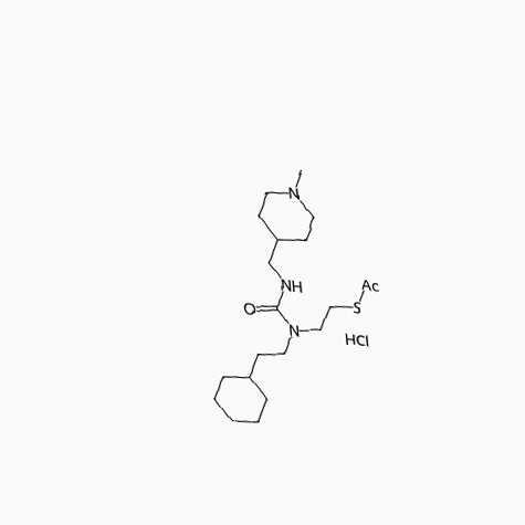 CC(=O)SCCN(CCC1CCCCC1)C(=O)NCC1CCN(C)CC1.Cl